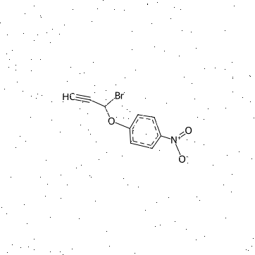 C#CC(Br)Oc1ccc([N+](=O)[O-])cc1